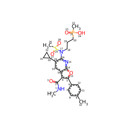 CNC(=O)c1c(-c2ccc(C)cc2)oc2nc(N(CCCP(C)(=O)O)S(C)(=O)=O)c(C3CC3)cc12